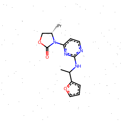 CC(Nc1nccc(N2C(=O)OC[C@@H]2C(C)C)n1)c1ccco1